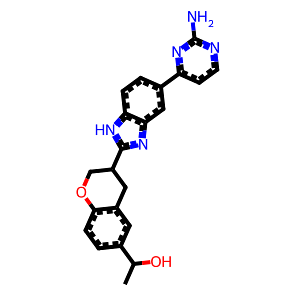 CC(O)c1ccc2c(c1)CC(c1nc3cc(-c4ccnc(N)n4)ccc3[nH]1)CO2